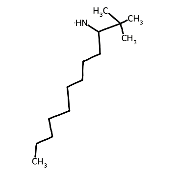 CCCCCCCCCC([NH])C(C)(C)C